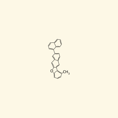 Cc1cccc2oc3cc4cc(-c5cccc6ccccc56)ccc4cc3c12